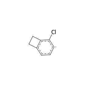 Clc1[c]ccc2c1CC2